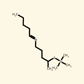 CCCCC=NCCCC(C)S[Si](C)(C)C